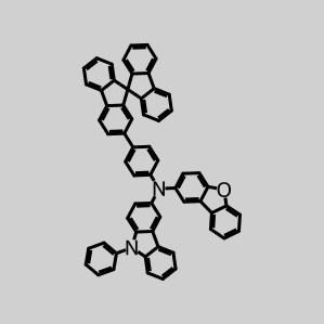 c1ccc(-n2c3ccccc3c3cc(N(c4ccc(-c5ccc6c(c5)C5(c7ccccc7-c7ccccc75)c5ccccc5-6)cc4)c4ccc5oc6ccccc6c5c4)ccc32)cc1